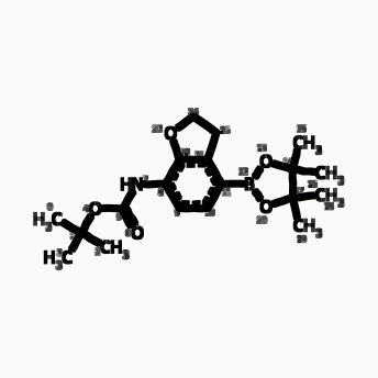 CC(C)(C)OC(=O)Nc1ccc(B2OC(C)(C)C(C)(C)O2)c2c1OCC2